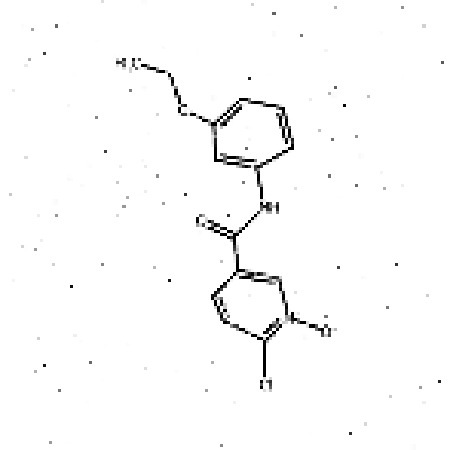 CCOc1cccc(NC(=O)c2ccc(Cl)[n+]([O-])c2)c1